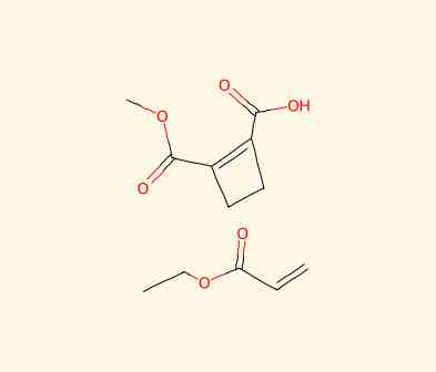 C=CC(=O)OCC.COC(=O)C1=C(C(=O)O)CC1